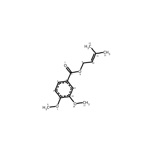 COc1ccc(C(=O)OCC=C(C)C)cc1OC